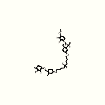 CCOc1ccc(OCc2ccc(OCCCCC(F)(F)CCCCOc3ccc(COc4ccc(C)c(F)c4F)c(C)c3)cc2C(F)(F)F)c(F)c1F